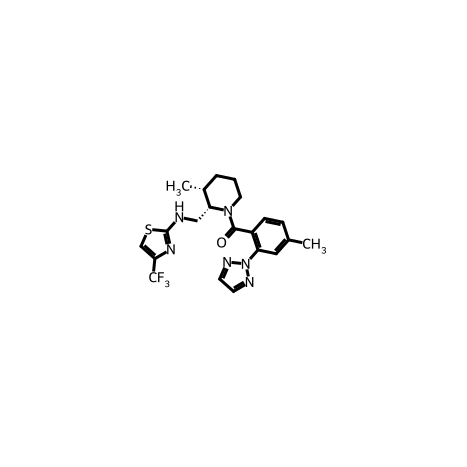 Cc1ccc(C(=O)N2CCC[C@@H](C)[C@H]2CNc2nc(C(F)(F)F)cs2)c(-n2nccn2)c1